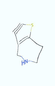 c1sc2c(c#1)CNCC2